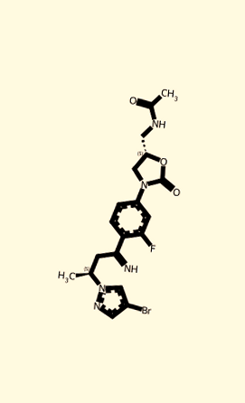 CC(=O)NC[C@H]1CN(c2ccc(C(=N)C[C@H](C)n3cc(Br)cn3)c(F)c2)C(=O)O1